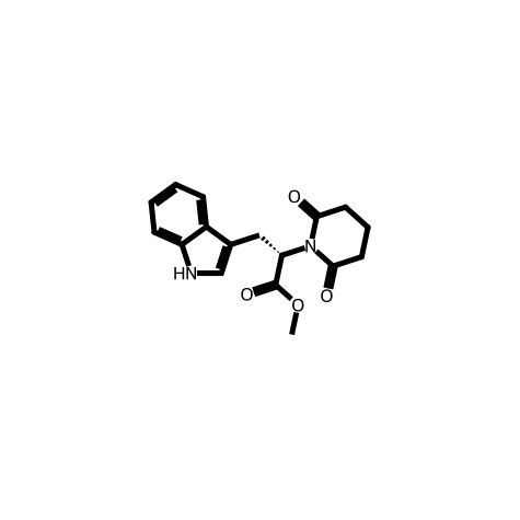 COC(=O)[C@H](Cc1c[nH]c2ccccc12)N1C(=O)CCCC1=O